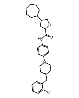 O=C(Nc1ccc(N2CCN(Cc3ccccc3Cl)CC2)cc1)C1CC(C2CCCCCC2)CO1